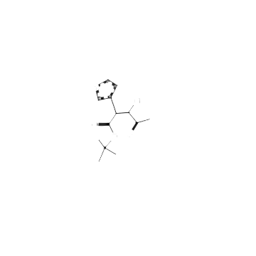 CC(=O)C(Cl)C(C(=O)OC(C)(C)C)c1ccsc1